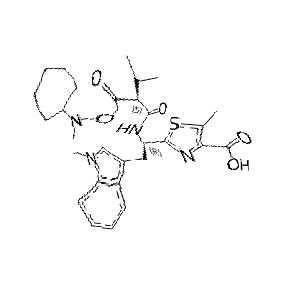 Cc1sc([C@@H](Cc2cn(C)c3ccccc23)NC(=O)[C@@H](C(=O)ON(C)C2CCCCC2)C(C)C)nc1C(=O)O